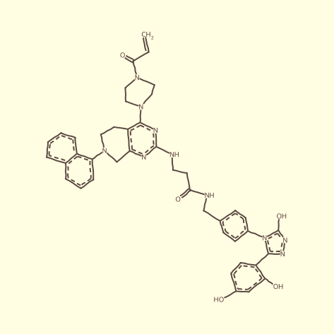 C=CC(=O)N1CCN(c2nc(NCCC(=O)NCc3ccc(-n4c(O)nnc4-c4ccc(O)cc4O)cc3)nc3c2CCN(c2cccc4ccccc24)C3)CC1